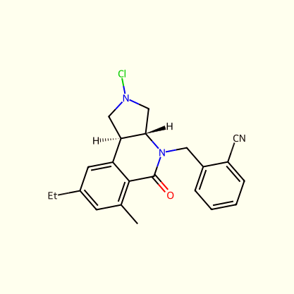 CCc1cc(C)c2c(c1)[C@H]1CN(Cl)C[C@@H]1N(Cc1ccccc1C#N)C2=O